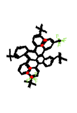 CC(C)(C)c1ccc(-c2c3ccc(C(C)(C)C)cc3c(-c3cccc(C(F)(F)F)c3)c3c(-c4ccc(C(C)(C)C)cc4)c4ccc(C(C)(C)C)cc4c(-c4cccc(C(F)(F)F)c4)c23)cc1